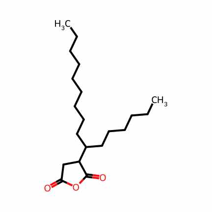 CCCCCCCCCC(CCCCCC)C1CC(=O)OC1=O